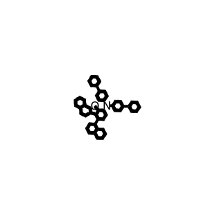 c1ccc(-c2ccc(N(c3ccc(-c4ccccc4)cc3)c3ccc(-c4cccc5ccccc45)c4c3oc3c5ccccc5ccc34)cc2)cc1